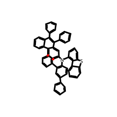 c1ccc(-c2ccc(N(c3ccc4c(c3)c(-c3ccccc3)c(-c3ccccc3)c3ccccc34)c3cccc4sc5ccccc5c34)c(-c3ccccc3)c2)cc1